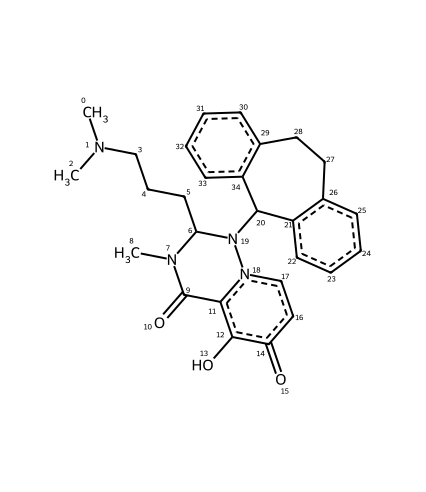 CN(C)CCCC1N(C)C(=O)c2c(O)c(=O)ccn2N1C1c2ccccc2CCc2ccccc21